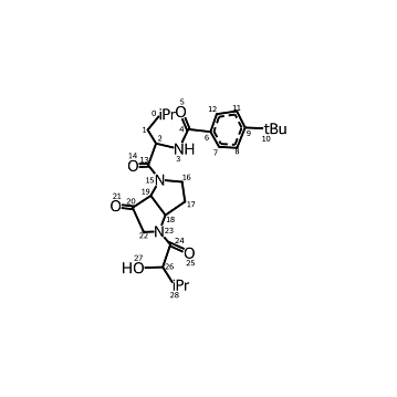 CC(C)CC(NC(=O)c1ccc(C(C)(C)C)cc1)C(=O)N1CCC2C1C(=O)CN2C(=O)C(O)C(C)C